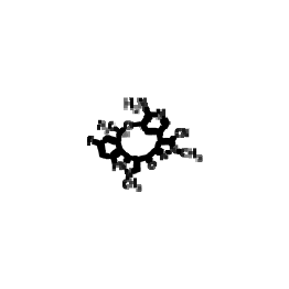 C[C@H]1Oc2cc(cnc2N)-c2c(nn(C)c2C#N)C(=O)c2cn(C)nc2-c2c(F)cc(F)cc21